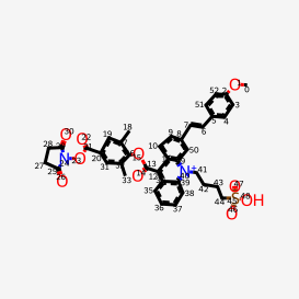 COc1ccc(C=Cc2ccc3c(C(=O)Oc4c(C)cc(C(=O)ON5C(=O)CCC5=O)cc4C)c4ccccc4[n+](CCCCS(=O)(=O)O)c3c2)cc1